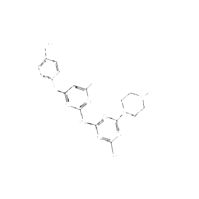 CCc1nc(Nc2nc(C)cc(Oc3ccc(OC)cc3)n2)nc(N2CCN(C)CC2)n1